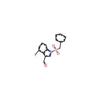 O=Cc1cn(S(=O)(=O)Cc2ccccc2)c2cccc(I)c12